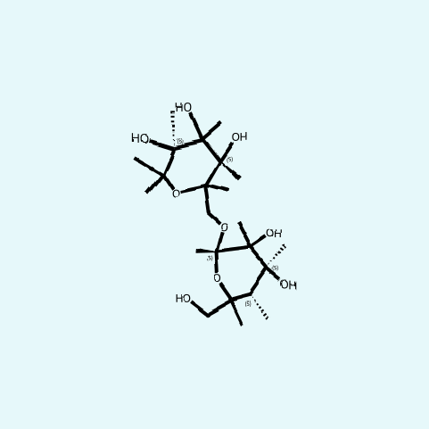 C[C@@H]1C(C)(CO)O[C@](C)(OCC2(C)OC(C)(C)[C@@](C)(O)C(C)(O)[C@]2(C)O)C(C)(O)[C@@]1(C)O